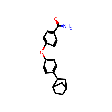 NC(=O)c1ccc(Oc2ccc(C3CC4CCC3C4)cc2)cc1